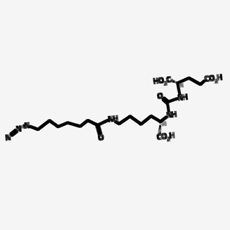 [N-]=[N+]=NCCCCCCC(=O)NCCCC[C@H](NC(=O)N[C@@H](CCC(=O)O)C(=O)O)C(=O)O